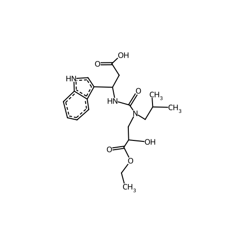 CCOC(=O)C(O)CN(CC(C)C)C(=O)NC(CC(=O)O)c1c[nH]c2ccccc12